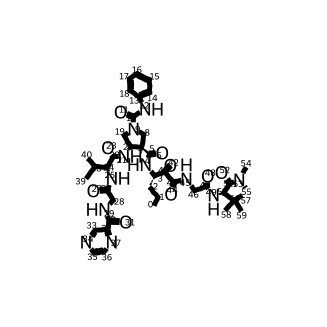 CCC[C@H](NC(=O)[C@@H]1CN(C(=O)Nc2ccccc2)C[C@@H]1NC(=O)[C@@H](NC(=O)CNC(=O)c1cnccn1)C(C)C)C(=O)C(=O)NCC(=O)N[C@H](C(=O)N(C)C)C(C)(C)C